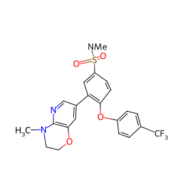 CNS(=O)(=O)c1ccc(Oc2ccc(C(F)(F)F)cc2)c(-c2cnc3c(c2)OCCN3C)c1